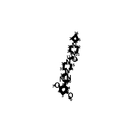 COc1ccc(OC)c(-c2cnc(N3CCN(CC(=O)N4CCN(C5CCC5)CC4)CC3)cn2)c1